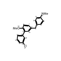 CNc1ccc(Cc2ccc(OC)c(-c3cccc(Cl)c3)c2)cc1